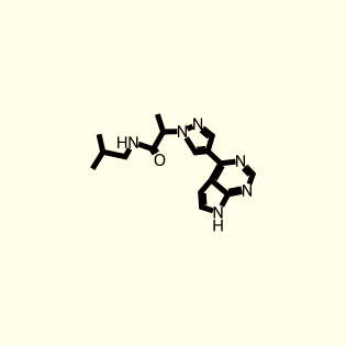 CC(C)CNC(=O)C(C)n1cc(-c2ncnc3[nH]ccc23)cn1